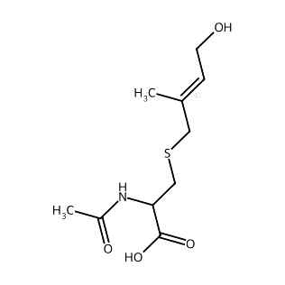 CC(=O)NC(CSC/C(C)=C/CO)C(=O)O